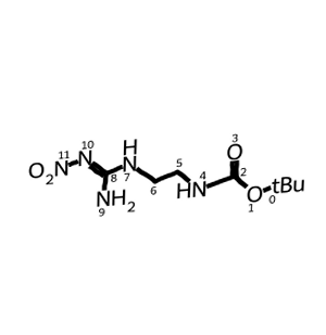 CC(C)(C)OC(=O)NCCN/C(N)=N/[N+](=O)[O-]